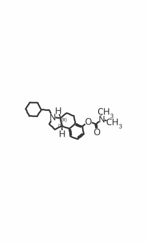 CN(C)C(=O)Oc1cccc2c1CC[C@@H]1[C@H]2CCN1CC1CCCCC1